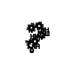 CC1(C)CCC(=O)Nc2ccc(Nc3ncc(Cl)c(Nc4cccc(-c5cccnc5)c4)n3)cc21